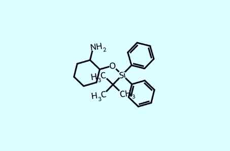 CC(C)(C)[Si](OC1CCCCC1N)(c1ccccc1)c1ccccc1